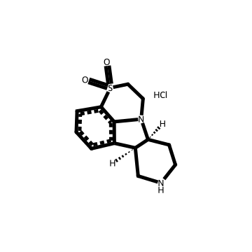 Cl.O=S1(=O)CCN2c3c(cccc31)[C@@H]1CNCC[C@@H]12